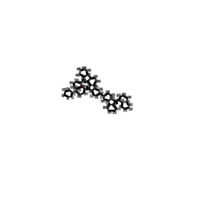 c1ccc(-c2ccc(-n3c4ccc(-c5ccc6c(c5)c5ccccc5n6-c5cccc6ccccc56)cc4c4ccc5c6ccccc6n(-c6ccccc6)c5c43)cc2)cc1